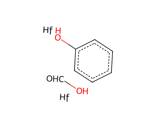 O=CO.Oc1ccccc1.[Hf].[Hf]